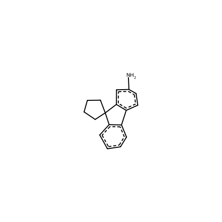 Nc1ccc2c(c1)C1(CCCC1)c1ccccc1-2